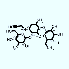 C#CCN[C@@H]1CC(N)[C@@H](O[C@H]2OC(CN)[C@@H](O)C(O)[C@@H]2O)C(O)[C@@H]1OC1O[C@H](CO)[C@@H](O)C(N)[C@H]1O